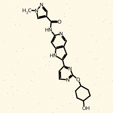 Cn1cc(C(=O)Nc2cc3[nH]c(-c4ccnc(OC5CCC(O)CC5)n4)cc3cn2)cn1